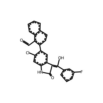 O=Cc1c(-c2cc3c(cc2Cl)NC(=O)C3=C(O)c2cccc(F)c2)ccc2ccccc12